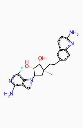 C[C@]1(CCc2ccc3nc(N)ccc3c2)C[C@@H](n2ccc3c(N)ncc(F)c32)[C@H](O)[C@@H]1O